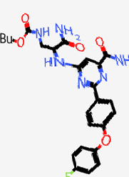 CC(C)(C)OC(=O)NCC(Nc1cc(C(N)=O)nc(-c2ccc(Oc3ccc(F)cc3)cc2)n1)C(N)=O